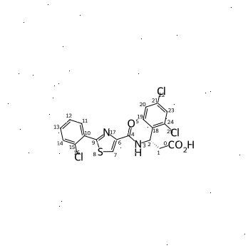 O=C(O)C[C@H](NC(=O)c1csc(-c2ccccc2Cl)n1)c1ccc(Cl)cc1Cl